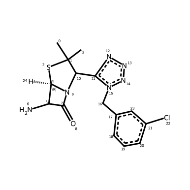 CC1(C)S[C@@H]2C(N)C(=O)N2C1c1nnnn1Cc1cccc(Cl)c1